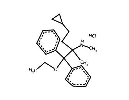 CCOC(c1ccccc1)(c1ccccc1)C(C)(CCC1CC1)NC.Cl